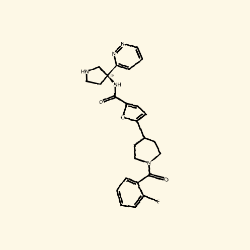 O=C(N[C@@]1(c2cccnn2)CCNC1)c1ccc(C2CCN(C(=O)c3ccccc3F)CC2)o1